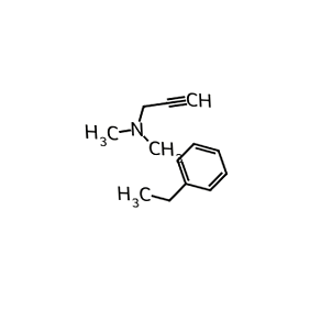 C#CCN(C)C.CCc1ccccc1